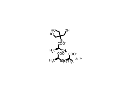 C=C(C)C(=O)[O-].C=C(C)C(=O)[O-].C=C(C)C(=O)[O-].CCC(CO)(CO)CO.[Au+3]